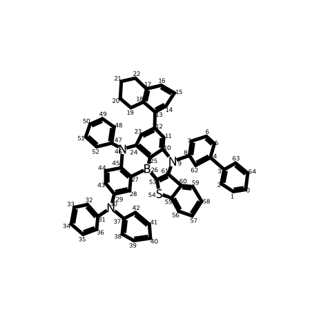 c1ccc(-c2cccc(N3c4cc(-c5cccc6c5CCCC6)cc5c4B(c4cc(N(c6ccccc6)c6ccccc6)ccc4N5c4ccccc4)c4sc5ccccc5c43)c2)cc1